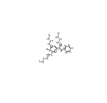 C=C(OC(COCCCC)[C@@H](C)OCCCC)[C@H](Cc1ccccc1)OCCCC